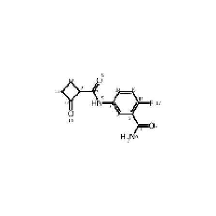 NC(=O)c1cc(NC(=O)C2CCC2=O)ccc1F